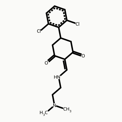 CN(C)CCNC=C1C(=O)CC(c2c(Cl)cccc2Cl)CC1=O